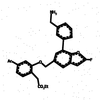 CCOC(=O)Cc1ccc(C(C)=O)cc1OCc1cc(-c2cccc(CN)c2)c2oc(F)cc2c1